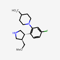 COC[C@H]1CNC[C@@H]1c1ccc(F)cc1N1CCC(C(=O)O)CC1